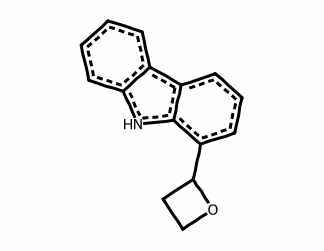 c1ccc2c(c1)[nH]c1c(C3CCO3)cccc12